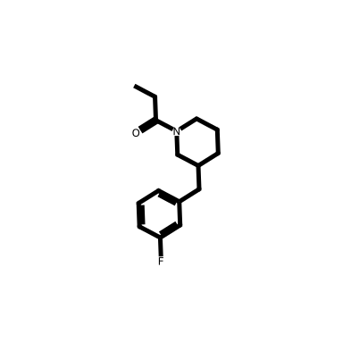 CCC(=O)N1CCCC(Cc2cccc(F)c2)C1